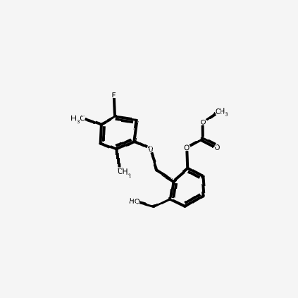 COC(=O)Oc1cccc(CO)c1COc1cc(F)c(C)cc1C